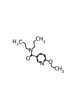 CCCN(CCC)C(=O)c1ccc(OCC)nc1